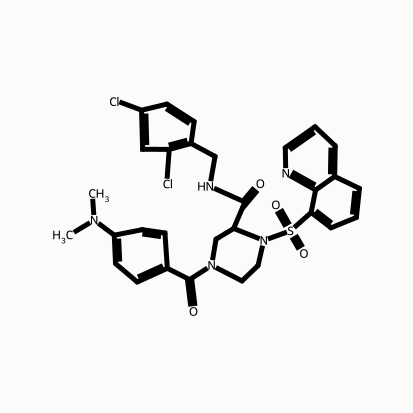 CN(C)c1ccc(C(=O)N2CCN(S(=O)(=O)c3cccc4cccnc34)C(C(=O)NCc3ccc(Cl)cc3Cl)C2)cc1